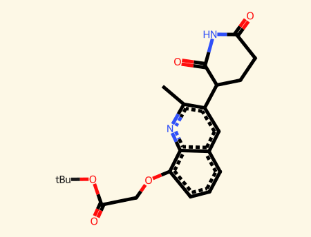 Cc1nc2c(OCC(=O)OC(C)(C)C)cccc2cc1C1CCC(=O)NC1=O